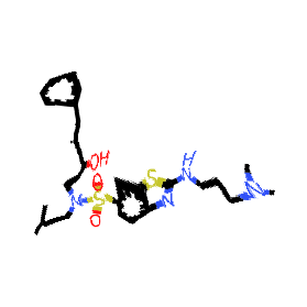 CC(C)CN(CC(O)[CH]Cc1ccccc1)S(=O)(=O)c1ccc2nc(NCCCN(C)C)sc2c1